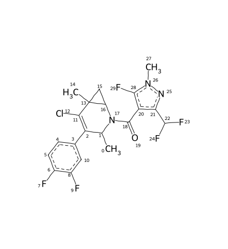 CC1C(c2ccc(F)c(F)c2)=C(Cl)C2(C)CC2N1C(=O)c1c(C(F)F)nn(C)c1F